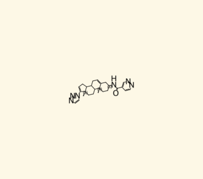 C[C@]12CC[C@H](NC(=O)c3ccnnc3)CC1=CCC1C2CC[C@]2(C)C(n3ccnn3)=CCC12